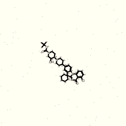 CC(C)(C)OC(=O)N1CCC(N2CCC(c3ccc4c(c3)C3(CCCCC3)c3nc(=O)c5c(Cl)cccc5n3-4)CC2)C(O)C1